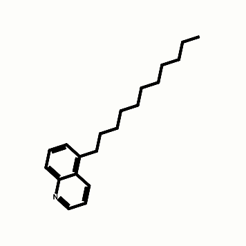 CCCCCCCCCCCc1cccc2ncccc12